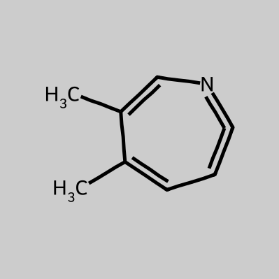 CC1=CC=C=NC=C1C